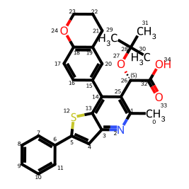 Cc1nc2cc(-c3ccccc3)sc2c(-c2ccc3c(c2)CCCO3)c1[C@H](OC(C)(C)C)C(=O)O